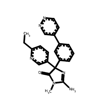 CCc1ccc(C2(c3cccc(-c4ccnnc4)c3)N=C(N)N(C)C2=O)cn1